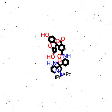 CC(C)N(CCC(C(N)=O)(c1cccc(NC(=O)c2ccc3c(c2)C2(OC3=O)c3ccc(O)cc3Oc3cc(O)ccc32)c1)c1ccccn1)C(C)C